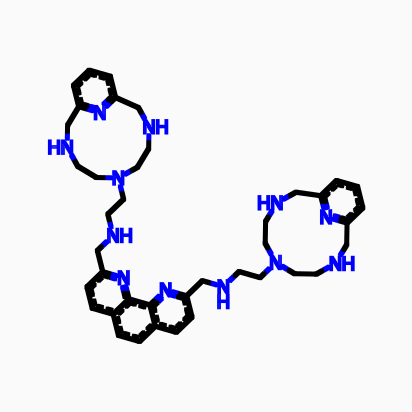 c1cc2nc(c1)CNCCN(CCNCc1ccc3ccc4ccc(CNCCN5CCNCc6cccc(n6)CNCC5)nc4c3n1)CCNC2